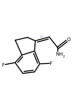 NC(=O)/C=C1/CCc2c(F)ccc(F)c21